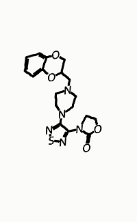 O=C1OCCN1c1nsnc1N1CCN(CC2COc3ccccc3O2)CC1